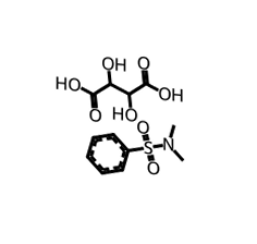 CN(C)S(=O)(=O)c1ccccc1.O=C(O)C(O)C(O)C(=O)O